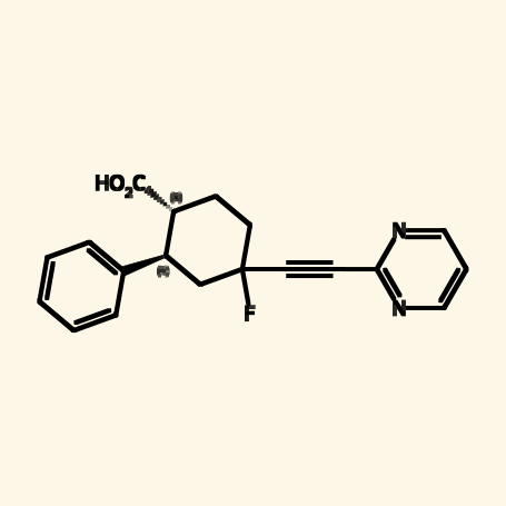 O=C(O)[C@@H]1CCC(F)(C#Cc2ncccn2)C[C@H]1c1ccccc1